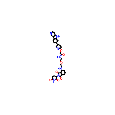 O=C(COc1ccc(-c2ccc3c(c2)[nH]c2ccncc23)cn1)NCCOCCNc1cccc2c1C(=O)N(C1CCC(=O)NC1=O)C2=O